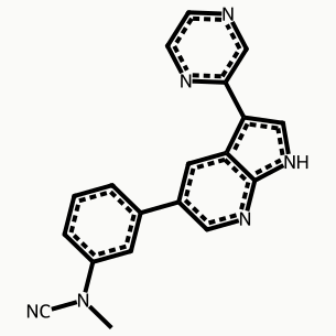 CN(C#N)c1cccc(-c2cnc3[nH]cc(-c4cnccn4)c3c2)c1